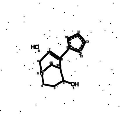 Cl.OC1CCN2CC=C(c3cccs3)C1C2